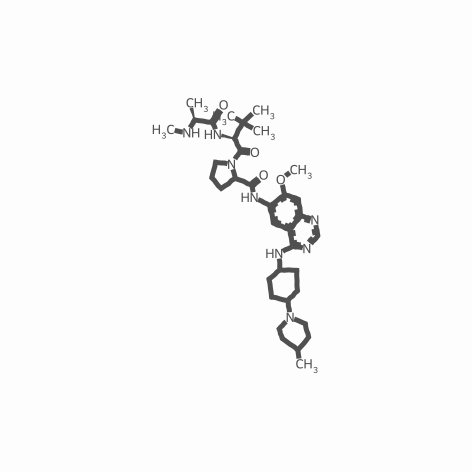 CN[C@@H](C)C(=O)N[C@H](C(=O)N1CCCC1C(=O)Nc1cc2c(NC3CCC(N4CCC(C)CC4)CC3)ncnc2cc1OC)C(C)(C)C